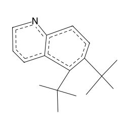 CC(C)(C)c1ccc2ncccc2c1C(C)(C)C